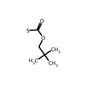 CC(C)(C)COC(=O)[S]